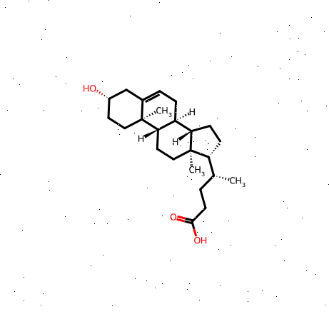 C[C@H](CCC(=O)O)[C@H]1CC[C@H]2[C@@H]3CC=C4C[C@@H](O)CC[C@]4(C)[C@H]3CC[C@]12C